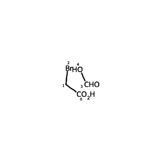 O=C(O)CBr.O=CO